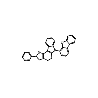 c1ccc(C2CC3=C(S2)c2c(n(-c4cccc5c4oc4ccccc45)c4ccccc24)CC3)cc1